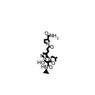 CC(C)Cn1c(=O)c(C(=O)NC2CC2)c(O)n2ncc(C=CC(=O)N3CCC(C(N)=O)C3)c12